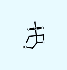 CCC1(S(C)(=O)=O)COC1CO